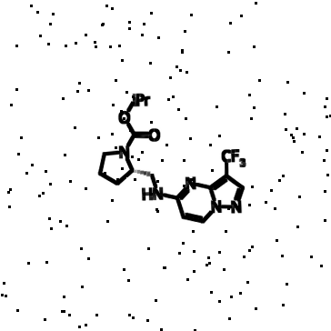 CC(C)OC(=O)N1CCC[C@H]1CNc1ccn2ncc(C(F)(F)F)c2n1